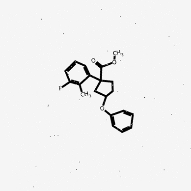 COC(=O)C1(c2cccc(F)c2C)CCC(Oc2ccccc2)C1